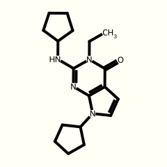 CCn1c(NC2CCCC2)nc2c(ccn2C2CCCC2)c1=O